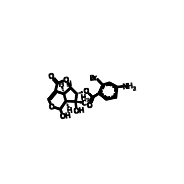 C[C@]1(O)[C@@H](OC(=O)c2ccc(N)cc2Br)[C@H]2OC(=O)C3=COC(O)[C@H]1[C@@H]32